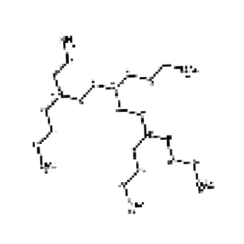 CC(=O)OCCCN(CCN)CCN(CCCOC(C)=O)CCN(CCCOC(C)=O)CCCOC(C)=O